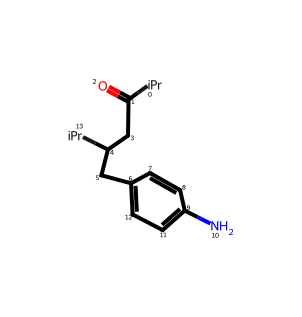 CC(C)C(=O)CC(Cc1ccc(N)cc1)C(C)C